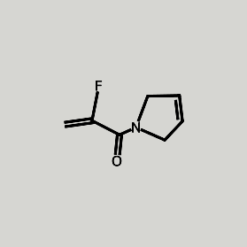 C=C(F)C(=O)N1CC=CC1